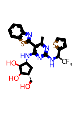 Cc1nc(N[C@@H](c2cccs2)C(F)(F)F)nc(N[C@@H]2C[C@H](CO)[C@@H](O)[C@H]2O)c1-c1nc2ccccc2s1